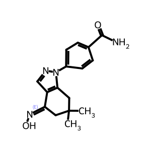 CC1(C)C/C(=N\O)c2cnn(-c3ccc(C(N)=O)cc3)c2C1